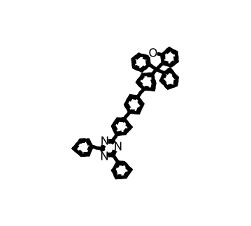 c1ccc(-c2nc(-c3ccccc3)nc(-c3ccc(-c4ccc(-c5ccc(C6(c7ccccc7)c7ccccc7Oc7ccccc76)cc5)cc4)cc3)n2)cc1